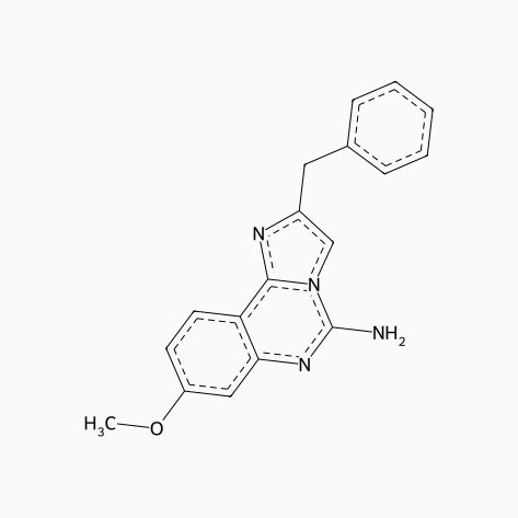 COc1ccc2c(c1)nc(N)n1cc(Cc3ccccc3)nc21